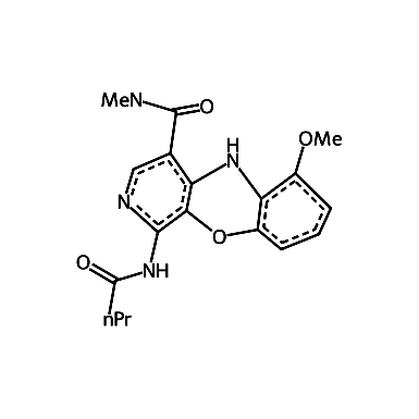 CCCC(=O)Nc1ncc(C(=O)NC)c2c1Oc1cccc(OC)c1N2